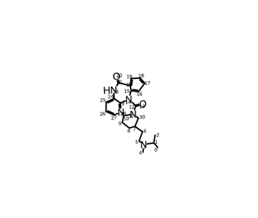 CC(C)N(C)CCC1CCCN(C(=O)N2c3ccccc3C(=O)Nc3cccnc32)C1